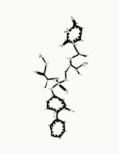 CC(C)OC(=O)[C@H](C)NP(=O)(OC[C@@H](O[C@H](C)n1ccc(=O)[nH]c1=O)[C@H](C)O)Oc1ccc(-c2ccccc2)c(F)c1